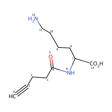 C#CCCC(=O)NC(CCCCN)C(=O)O